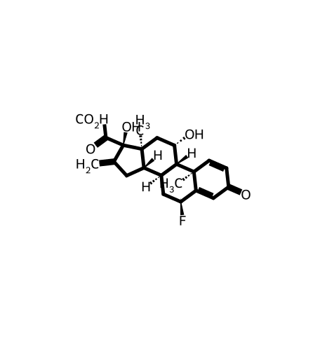 C=C1C[C@H]2[C@@H]3C[C@H](F)C4=CC(=O)C=C[C@]4(C)[C@H]3[C@@H](O)C[C@]2(C)[C@@]1(O)C(=O)C(=O)O